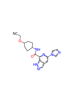 N#CCOC1CCC(NC(=O)c2nc(-n3ccnc3)cc3cn[nH]c23)CC1